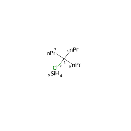 CCCC(Cl)(CCC)CCC.[SiH4]